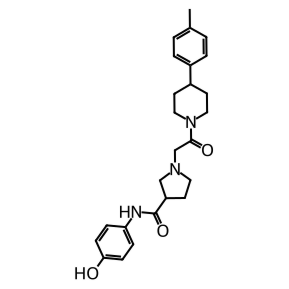 Cc1ccc(C2CCN(C(=O)CN3CCC(C(=O)Nc4ccc(O)cc4)C3)CC2)cc1